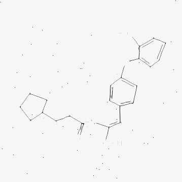 Cc1ccccc1Oc1ccc(C=C(NC(=O)CCC2CCCC2)C(=O)O)cc1